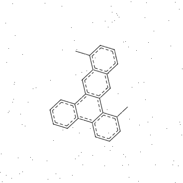 Cc1cccc2cc3c(cc12)c1ccccc1c1cccc(C)c13